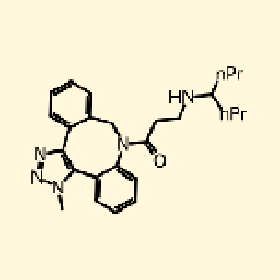 CCCC(CCC)NCCC(=O)N1Cc2ccccc2-c2nnn(C)c2-c2ccccc21